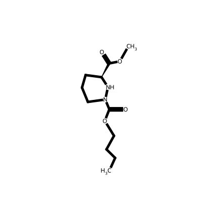 CCCCOC(=O)N1CCC[C@@H](C(=O)OC)N1